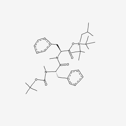 CC(C)C[Si](OC(=O)[C@H](Cc1ccccc1)N(C)C(=O)[C@H](Cc1ccccc1)N(C)C(=O)OC(C)(C)C)(C(C)(C)C)C(C)(C)C